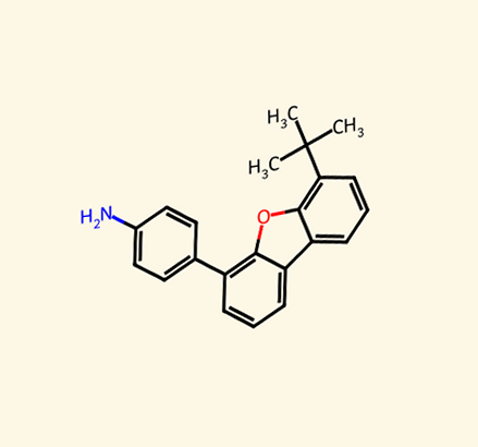 CC(C)(C)c1cccc2c1oc1c(-c3ccc(N)cc3)cccc12